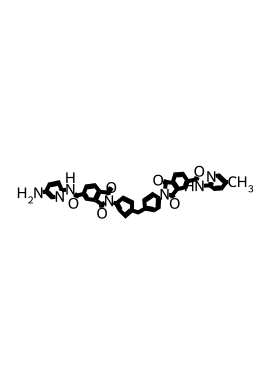 Cc1ccc(NC(=O)c2ccc3c(c2)C(=O)N(c2ccc(Cc4ccc(N5C(=O)c6ccc(C(=O)Nc7ccc(N)cn7)cc6C5=O)cc4)cc2)C3=O)nc1